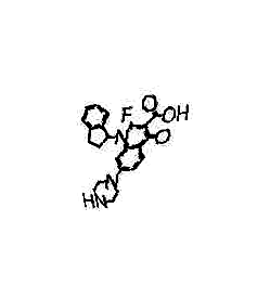 O=C(O)c1c(F)n(C2CCc3ccccc32)c2cc(N3CCNCC3)ccc2c1=O